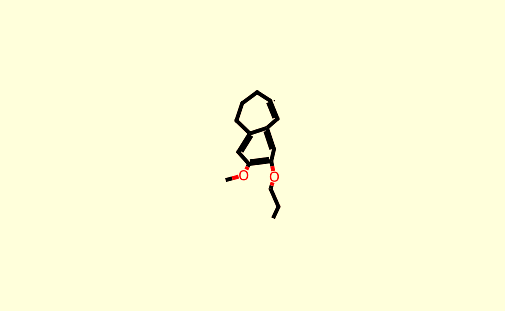 CCCOc1cc2c(cc1OC)CCC[C]=C2